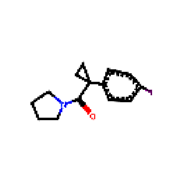 O=C(N1CCCC1)C1(c2ccc(I)cc2)CC1